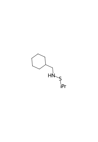 CC(C)SNCC1CCCCC1